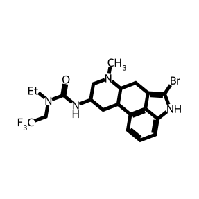 CCN(CC(F)(F)F)C(=O)NC1CC2c3cccc4[nH]c(Br)c(c34)CC2N(C)C1